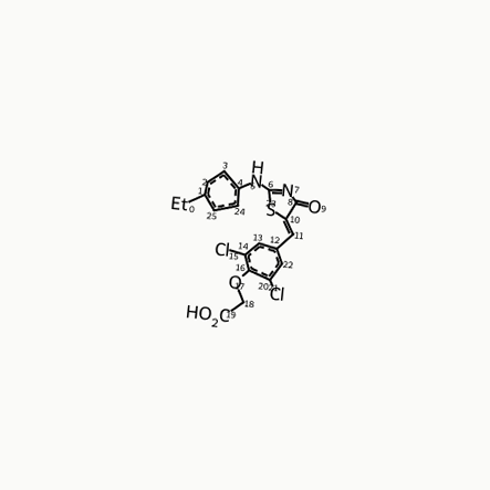 CCc1ccc(NC2=NC(=O)/C(=C/c3cc(Cl)c(OCC(=O)O)c(Cl)c3)S2)cc1